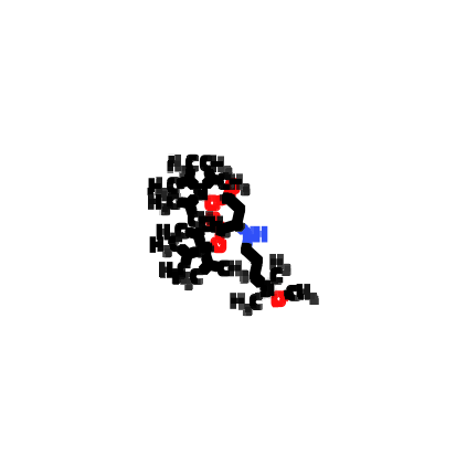 CO[Si](C)(C)CCCNC(CC(=O)O[Si](C(C)C)(C(C)C)C(C)C)C(=O)O[Si](C(C)C)(C(C)C)C(C)C